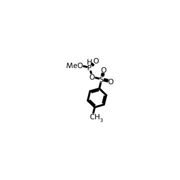 CO[PH](=O)OS(=O)(=O)c1ccc(C)cc1